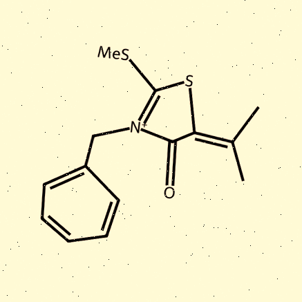 CSC1=[N+](Cc2ccccc2)C(=O)C(=C(C)C)S1